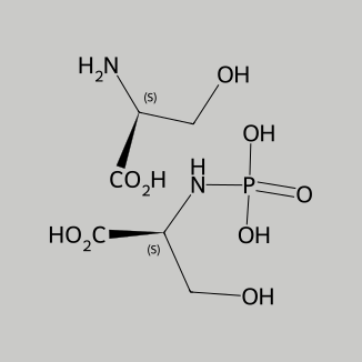 N[C@@H](CO)C(=O)O.O=C(O)[C@H](CO)NP(=O)(O)O